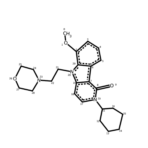 COc1cccc2c3c(=O)n(C4CCCCC4)ccc3n(CCN3CCOCC3)c12